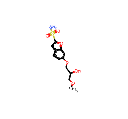 COCC(O)COc1ccc2cc(S(N)(=O)=O)oc2c1